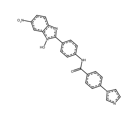 O=C(Nc1ccc(-c2nc3ccc([N+](=O)[O-])cc3n2O)cc1)c1ccc(-n2ccnc2)cc1